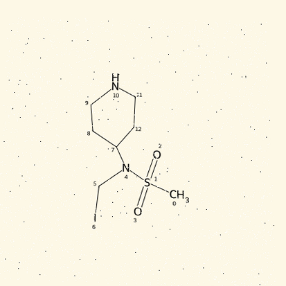 CS(=O)(=O)N(CI)C1CCNCC1